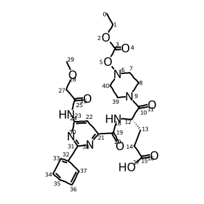 CCOC(=O)ON1CCN(C(=O)[C@H](CCC(=O)O)NC(=O)c2cc(NC(=O)COC)nc(-c3ccccc3)n2)CC1